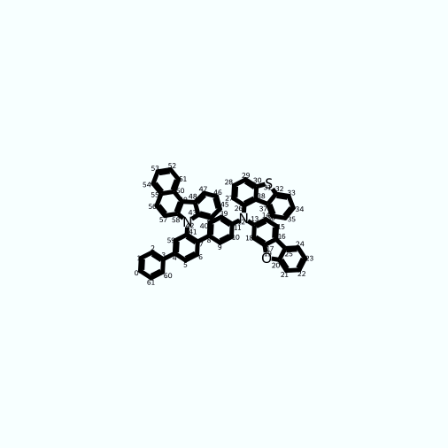 c1ccc(-c2ccc(-c3ccc(N(c4ccc5c(c4)oc4ccccc45)c4cccc5sc6ccccc6c45)cc3)c(-n3c4ccccc4c4c5ccccc5ccc43)c2)cc1